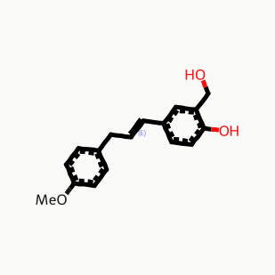 COc1ccc(C/C=C/c2ccc(O)c(CO)c2)cc1